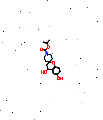 C=C(C)OC(=O)N1CCC2(CC1)CC(O)c1cc(O)ccc1O2